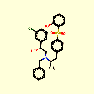 C[C@H](Cc1ccc(S(=O)(=O)c2ccccc2O)cc1)N(Cc1ccccc1)C[C@H](O)c1cccc(Cl)c1